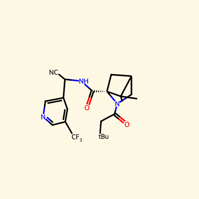 CC(C)(C)CC(=O)N1CC2C[C@@]1(C(=O)NC(C#N)c1cncc(C(F)(F)F)c1)C2(C)C